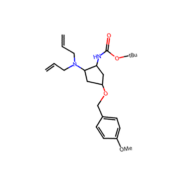 C=CCN(CC=C)C1CC(OCc2ccc(OC)cc2)CC1NC(=O)OC(C)(C)C